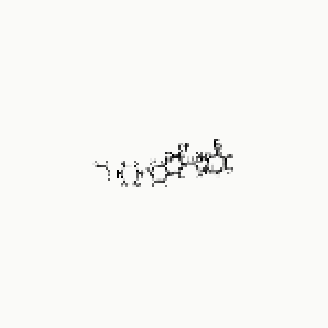 CCCN1CCN(c2ccc3cc(-c4cn5cccc(F)c5n4)c(=O)oc3c2)CC1